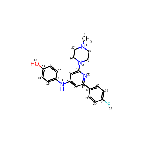 CN1CCN(c2cc(Nc3ccc(O)cc3)cc(-c3ccc(F)cc3)n2)CC1